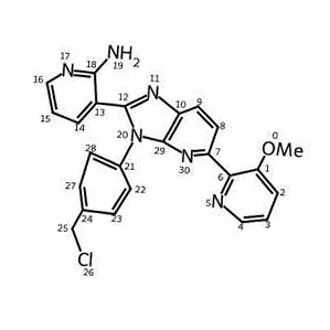 COc1cccnc1-c1ccc2nc(-c3cccnc3N)n(-c3ccc(CCl)cc3)c2n1